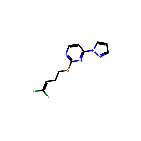 FC(F)=CCCSc1nccc(-n2cccn2)n1